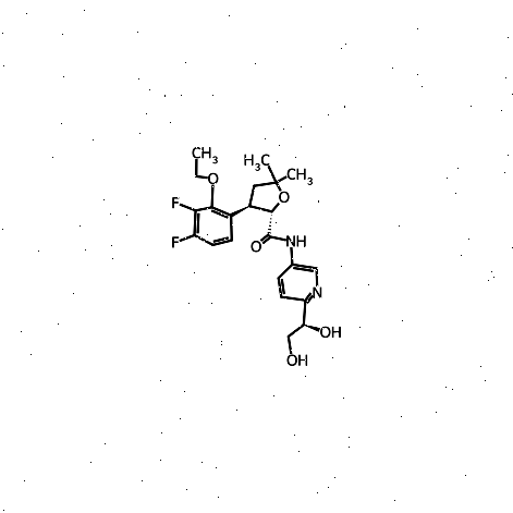 CCOc1c([C@H]2CC(C)(C)O[C@@H]2C(=O)Nc2ccc([C@@H](O)CO)nc2)ccc(F)c1F